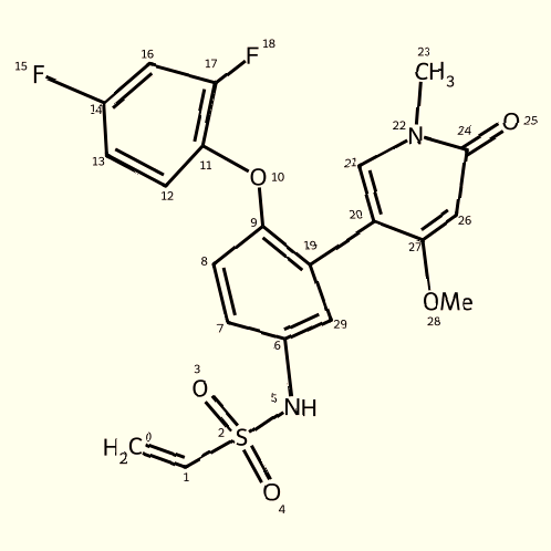 C=CS(=O)(=O)Nc1ccc(Oc2ccc(F)cc2F)c(-c2cn(C)c(=O)cc2OC)c1